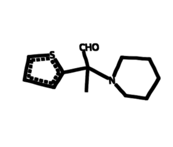 CC(C=O)(c1cccs1)N1CCCCC1